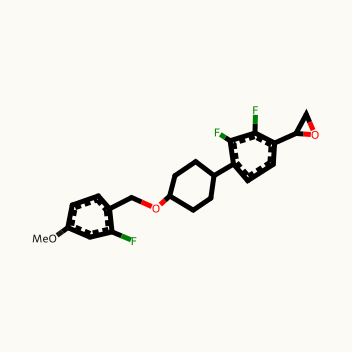 COc1ccc(COC2CCC(c3ccc(C4CO4)c(F)c3F)CC2)c(F)c1